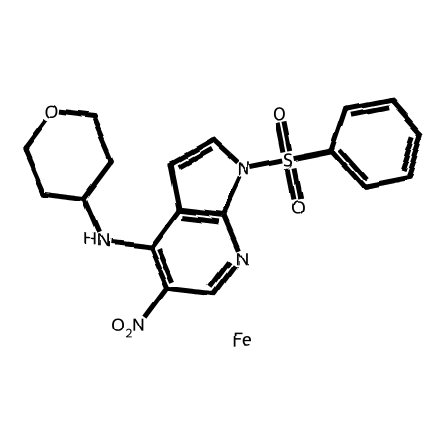 O=[N+]([O-])c1cnc2c(ccn2S(=O)(=O)c2ccccc2)c1NC1CCOCC1.[Fe]